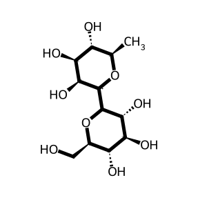 C[C@H]1O[C](C2O[C@H](CO)[C@@H](O)[C@H](O)[C@H]2O)[C@@H](O)[C@@H](O)[C@@H]1O